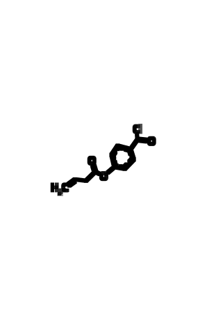 C=CCC(=O)Oc1ccc(C(=O)Cl)cc1